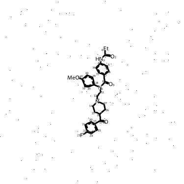 CCC(=O)Nc1ccc(C(=O)N(CCN2CCC(C(=O)c3ccc(F)cc3)CC2)c2ccc(OC)cc2)cc1